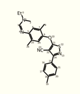 CCN(C)/C=N\c1cc(C)c(Oc2snc(-c3ccc(C)cc3)c2C#N)cc1C